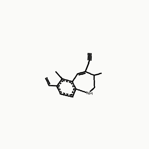 C#CC1=Cc2c(ccc(C=C)c2C)NCC1C